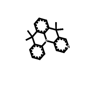 CC1(C)c2ccccc2N2c3ccncc3C(C)(C)c3cccc1c32